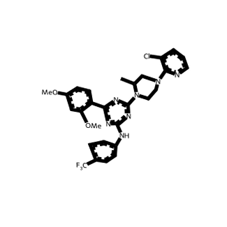 COc1ccc(-c2nc(Nc3ccc(C(F)(F)F)cc3)nc(N3CCN(c4ncccc4Cl)CC3C)n2)c(OC)c1